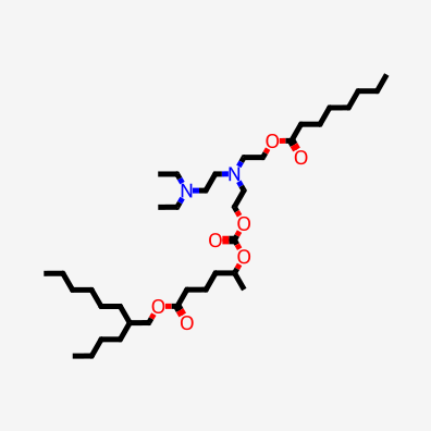 CCCCCCCC(=O)OCCN(CCOC(=O)OC(C)CCCC(=O)OCC(CCCC)CCCCCC)CCN(CC)CC